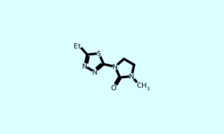 CCc1nnc(N2CCN(C)C2=O)s1